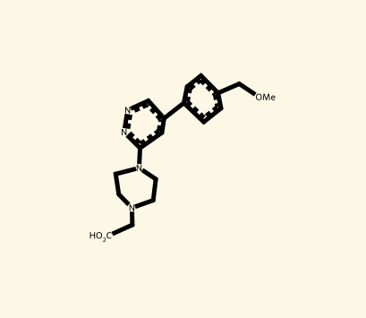 COCc1ccc(-c2cnnc(N3CCN(CC(=O)O)CC3)c2)cc1